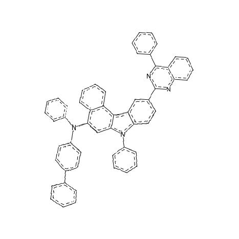 c1ccc(-c2ccc(N(c3ccccc3)c3cc4c(c5ccccc35)c3cc(-c5nc(-c6ccccc6)c6ccccc6n5)ccc3n4-c3ccccc3)cc2)cc1